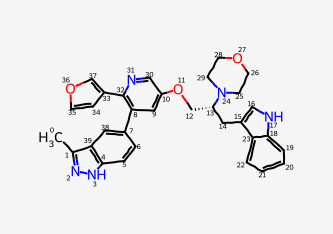 Cc1n[nH]c2ccc(-c3cc(OC[C@@H](Cc4c[nH]c5ccccc45)N4CCOCC4)cnc3-c3ccoc3)cc12